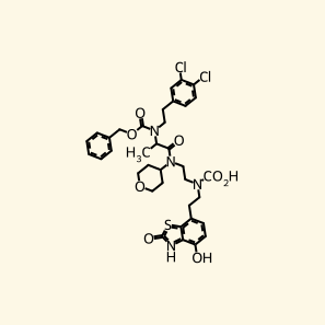 CC(C(=O)N(CCN(CCc1ccc(O)c2[nH]c(=O)sc12)C(=O)O)C1CCOCC1)N(CCc1ccc(Cl)c(Cl)c1)C(=O)OCc1ccccc1